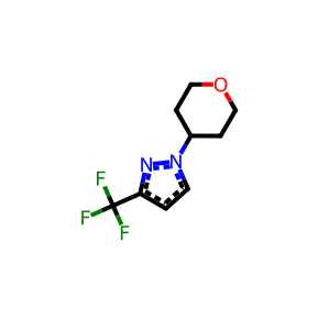 FC(F)(F)c1ccn(C2CCOCC2)n1